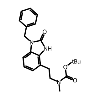 CN(CCc1cccc2c1[nH]c(=O)n2Cc1ccccc1)C(=O)OC(C)(C)C